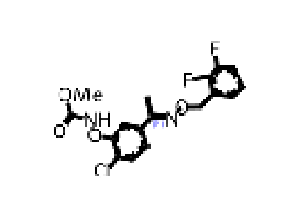 COC(=O)NOc1cc(/C(C)=N/OCc2cccc(F)c2F)ccc1Cl